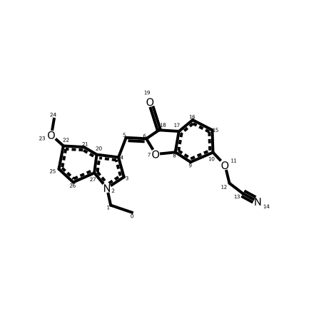 CCn1cc(C=C2Oc3cc(OCC#N)ccc3C2=O)c2cc(OC)ccc21